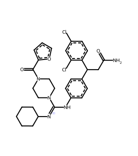 NC(=O)CC(c1ccc(N/C(=N/C2CCCCC2)N2CCN(C(=O)c3ccco3)CC2)cc1)c1ccc(Cl)cc1Cl